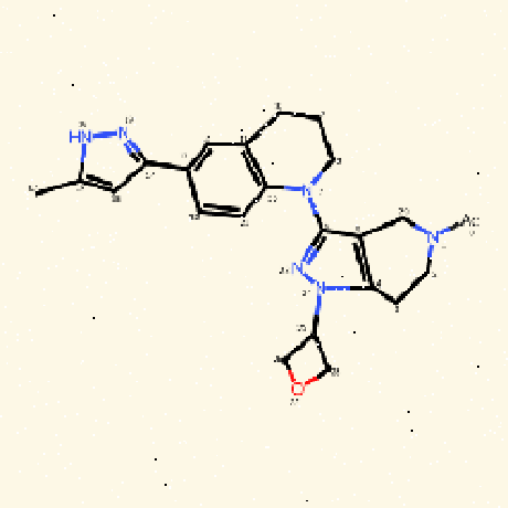 CC(=O)N1CCc2c(c(N3CCCc4cc(-c5cc(C)[nH]n5)ccc43)nn2C2COC2)C1